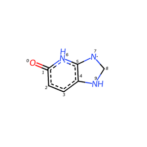 O=c1ccc2c([nH]1)[N]CN2